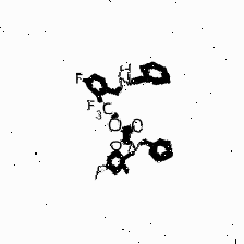 Cc1cc(F)ccc1CN(Cc1ccccc1)C(=O)C(=O)OCC(F)(F)F.Cc1cc(F)ccc1CNCc1ccccc1